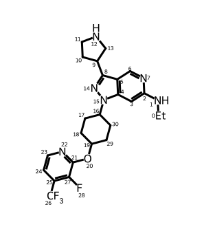 CCNc1cc2c(cn1)c(C1CCNC1)nn2C1CCC(Oc2nccc(C(F)(F)F)c2F)CC1